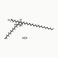 CCCCCCCCCCCCCCCCCCCCCC(=O)NC(CCCCN)C(=O)NCCCCCCCCCCCC.Cl